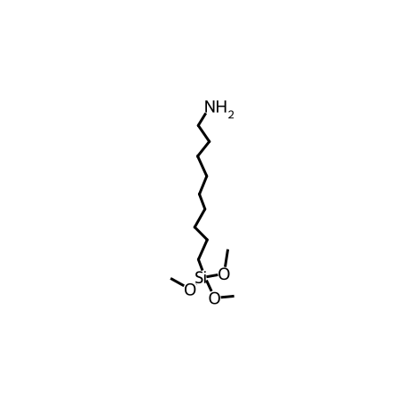 CO[Si](CCCCCCCCCN)(OC)OC